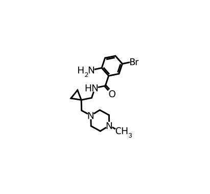 CN1CCN(CC2(CNC(=O)c3cc(Br)ccc3N)CC2)CC1